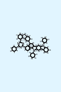 c1ccc(-c2nc(-c3ccccc3)nc(-c3cccc4c3-c3cc(-c5ccc6c(c5)c5cc7c(cc5n6-c5ccccc5)c5ccccc5n7-c5ccccc5)ccc3C4)n2)cc1